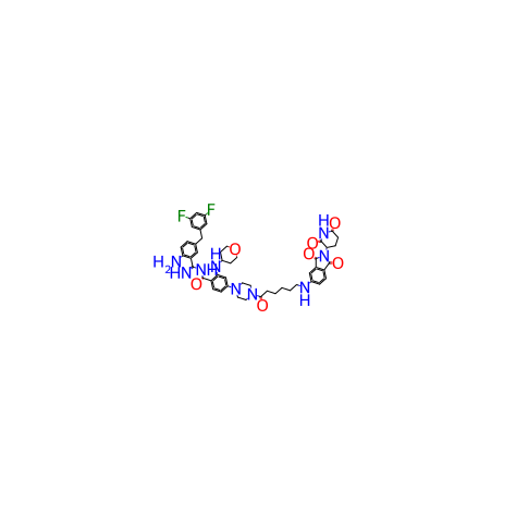 N=C(NC(=O)c1ccc(N2CCN(C(=O)CCCCCNc3ccc4c(c3)C(=O)N(C3CCC(=O)NC3=O)C4=O)CC2)cc1NC1CCOCC1)c1cc(Cc2cc(F)cc(F)c2)ccc1N